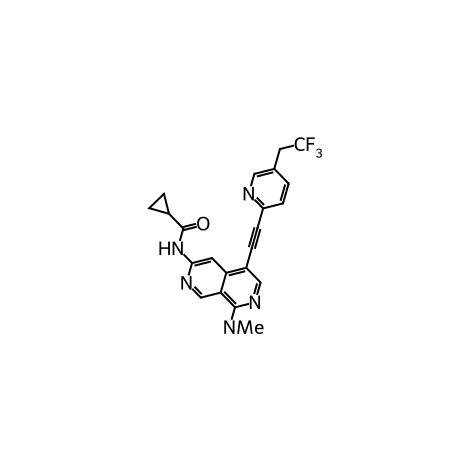 CNc1ncc(C#Cc2ccc(CC(F)(F)F)cn2)c2cc(NC(=O)C3CC3)ncc12